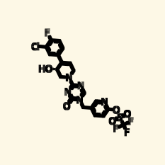 O=c1nc(N2CC=C(c3ccc(F)c(Cl)c3)[C@@H](O)C2)ncn1Cc1ccc(OS(=O)(=O)C(F)(F)F)nc1